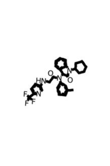 Cc1cccc(N(C(=O)CNc2ccc(C(F)(F)F)nc2)C2C(=O)N(C3CCCCC3)c3ccccc32)c1